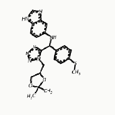 CSc1ccc(C(Nc2ccc3[nH]cnc3c2)c2nnnn2CC2COC(C)(C)O2)cc1